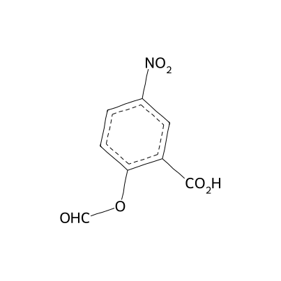 O=COc1ccc([N+](=O)[O-])cc1C(=O)O